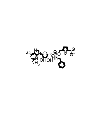 COc1nc(N)nc2c1ncn2C1O[C@H](COP(=O)(NCc2ccccc2)OCc2ccc([N+](=O)[O-])n2C)[C@H](O)C1O